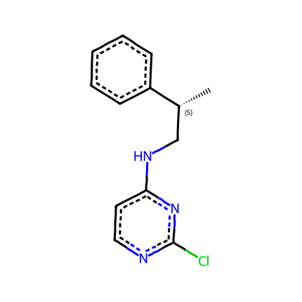 C[C@H](CNc1ccnc(Cl)n1)c1ccccc1